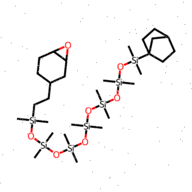 C[Si](C)(CCC1CCC2OC2C1)O[Si](C)(C)O[Si](C)(C)O[Si](C)(C)O[Si](C)(C)O[Si](C)(C)O[Si](C)(C)C12CCC(CC1)C2